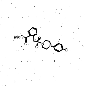 COC(=O)c1ccccc1CS(=O)(=O)N1CCN(c2ccc(Cl)cc2)CC1